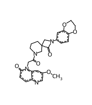 COc1cnc2ccc(=O)n(CC(=O)N3CCCC4(C3)CN(c3ccc5c(c3)OCCO5)C4=O)c2c1